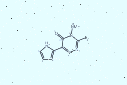 CCc1nnc(-c2ccc[nH]2)c(=O)n1NC